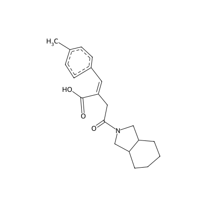 Cc1ccc(C=C(CC(=O)N2CC3CCCCC3C2)C(=O)O)cc1